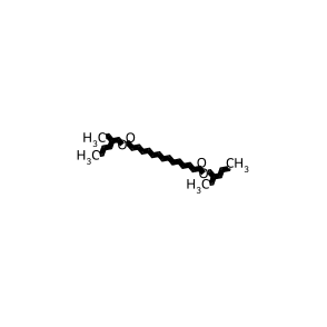 CCCCC(CC)COC(=O)CCCCCCCCCCCCCC(=O)OCC(CC)CCCC